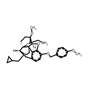 COc1ccc(COc2ccc3c4c2OC2C5(OC)CC[C@@]6(C[C@@H]5CN)[C@@H](C3)N(CC3CC3)CC[C@]426)cc1